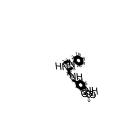 CS(=O)(=O)Nc1ccc(CNCC2CN(c3ccccc3)CCN2)cc1